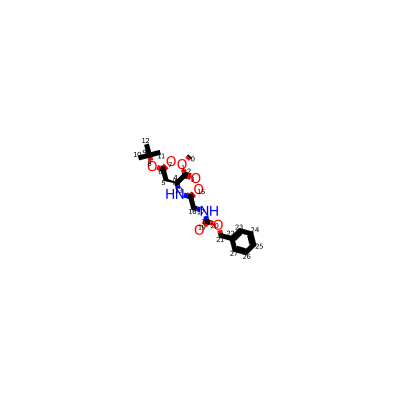 COC(=O)[C@H](CC(=O)OC(C)(C)C)NC(=O)CNC(=O)OCc1ccccc1